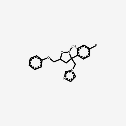 CN1OC(COc2ccccc2)CC1(Cn1ccnc1)c1ccc(F)cc1